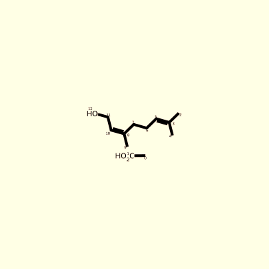 CC(=O)O.CC(C)=CCC/C(C)=C\CO